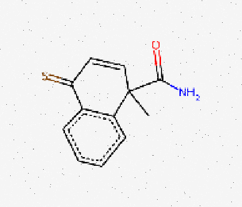 CC1(C(N)=O)C=CC(=S)c2ccccc21